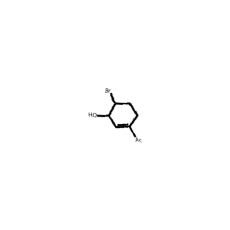 CC(=O)C1=CC(O)C(Br)CC1